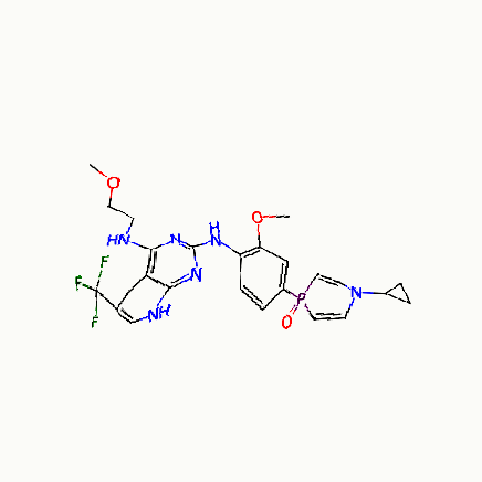 COCCNc1nc(Nc2ccc(P3(=O)C=CN(C4CC4)C=C3)cc2OC)nc2[nH]cc(C(F)(F)F)c12